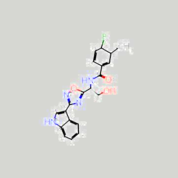 CC1C=C(C(=O)N[C@@H](CO)c2nc(-c3c[nH]c4ccccc34)no2)C=CC1F